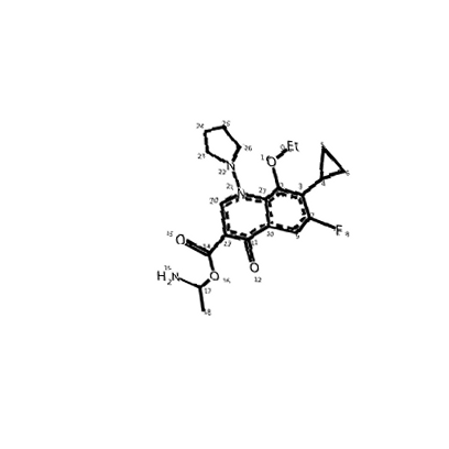 CCOc1c(C2CC2)c(F)cc2c(=O)c(C(=O)OC(C)N)cn(N3CCCC3)c12